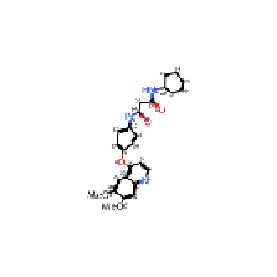 COc1cc2nccc(Oc3ccc(NC(=O)CC(=O)NC4CCCCC4)cc3)c2cc1OC